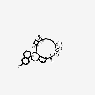 CCN1[C@H](C)CCC[C@H](O)[C@@H]2CC[C@H]2CN2C[C@@]3(CCCc4cc(Cl)ccc43)COc3ccc(cc32)C(=O)NS1(=O)=O